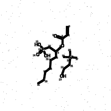 C=CC(=O)OC(CCCCCC)CP(=O)(O)O.C[N+](C)(C)CCO